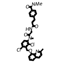 CNC(=O)c1ccc(C=CC(=O)NCC(=O)N(C)c2ccc(Cl)c(COc3cccc4ccc(C)nc34)c2Cl)cc1